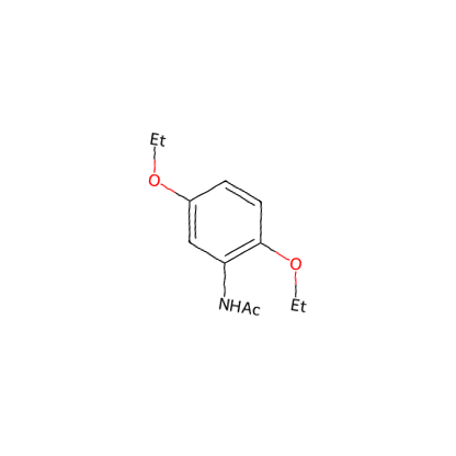 CCOc1ccc(OCC)c(NC(C)=O)c1